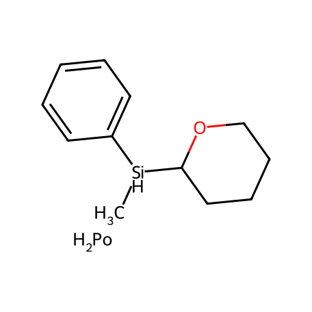 C[SiH](c1ccccc1)C1CCCCO1.[PoH2]